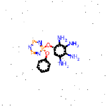 Nc1cc(OP2(Oc3ccccc3)=NP=NP=N2)c(N)c(N)c1N